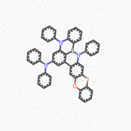 c1ccc(N2B3c4ccccc4N(c4ccccc4)c4cc(N(c5ccccc5)c5ccccc5)cc(c43)-c3cc4c(cc32)Sc2ccccc2O4)cc1